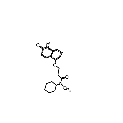 CN(C(=O)CCOc1cccc2[nH]c(=O)ccc12)C1CCCCC1